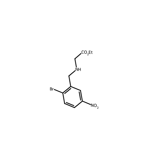 CCOC(=O)CNCc1cc([N+](=O)[O-])ccc1Br